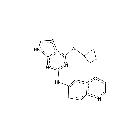 c1cnc2ccc(Nc3nc(NC4CCC4)c4nc[nH]c4n3)cc2c1